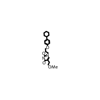 COCCc1cn2c(nc1=O)OC(COc1ccc(C3CCCCC3)cc1)C2